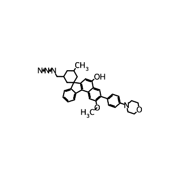 COc1cc2c3c(cc(O)c2cc1-c1ccc(N2CCOCC2)cc1)C1(CC(C)CC(CN=[N+]=[N-])C1)c1ccccc1-3